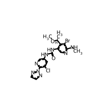 CNc1ncc(NC(=O)Nc2cnc(-n3nccn3)c(Cl)c2)c([C@@H](C)OC)c1Br